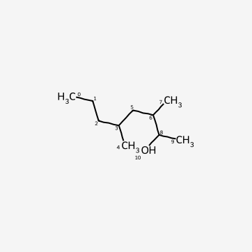 CCCC(C)CC(C)C(C)O